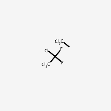 CC(Cl)(Cl)Cl.FC(F)(Cl)C(Cl)(Cl)Cl